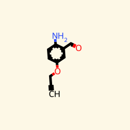 C#CCOc1ccc(N)c(C=O)c1